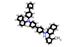 CC1C=CC=CC1c1cc2ccccc2cc1Nc1ccc(-c2ccc(N(c3ccc(-c4ccccc4)cc3)c3cccc4ccccc34)cc2)cc1